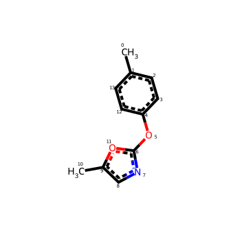 Cc1ccc(Oc2ncc(C)o2)cc1